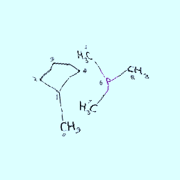 CC1CCC1.CP(C)C